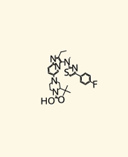 CCc1nc2ccc(N3CCN(C(=O)O)C(C(C)(C)C)C3)cn2c1N(C)c1nc(-c2ccc(F)cc2)cs1